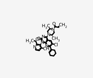 C=CC(=O)N1C[C@H](C)N(c2nc(=O)n(-c3c(C)ccnc3C(C)C)c3nc(C4=CCCCC4)c(Cl)cc23)C[C@H]1C